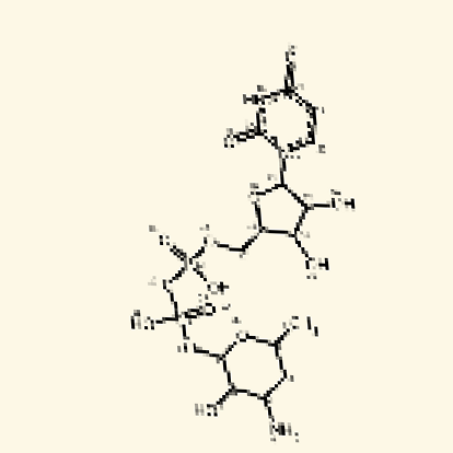 CC1CC(N)C(O)[C@@H](OP(=O)(O)OP(=O)(O)OC[C@H]2O[C@@H](n3ccc(=O)[nH]c3=O)C(O)C2O)O1